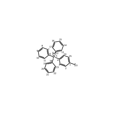 Ic1ccc([PH](c2ccccc2)(c2ccccc2)c2ccccc2)cc1